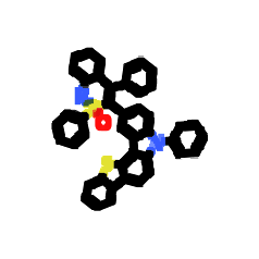 O=S1(c2ccccc2)=Nc2ccccc2C(c2ccccc2)=C1c1ccc2c(c1)c1c3sc4ccccc4c3ccc1n2-c1ccccc1